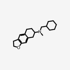 CN(CC1CCCCC1)C1CCc2cc3c(cc2C1)OCC3